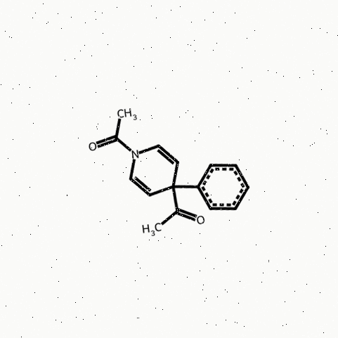 CC(=O)N1C=CC(C(C)=O)(c2ccccc2)C=C1